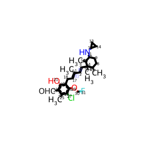 CC(/C=C/[C@@]1(C)[C@H](C)CCC(NC2CC2)[C@@H]1C)=C\Cc1c(O)c(C=O)c(C)c(Cl)c1OCF